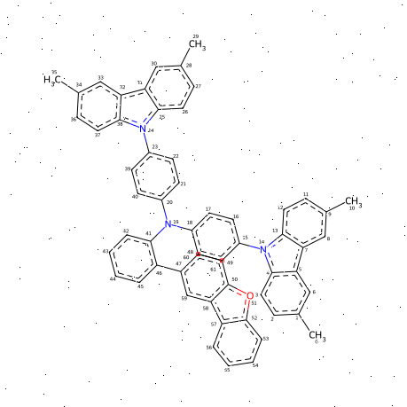 Cc1ccc2c(c1)c1cc(C)ccc1n2-c1ccc(N(c2ccc(-n3c4ccc(C)cc4c4cc(C)ccc43)cc2)c2ccccc2-c2ccc3oc4ccccc4c3c2)cc1